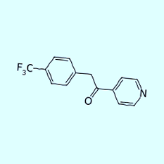 O=C(Cc1ccc(C(F)(F)F)cc1)c1ccncc1